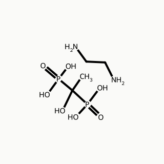 CC(O)(P(=O)(O)O)P(=O)(O)O.NCCN